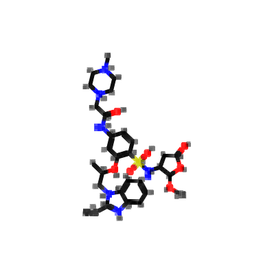 CCOC1OC(=O)CC1NS(=O)(=O)c1ccc(NC(=O)CN2CCN(C)CC2)cc1OC(C)Cn1c(SC)nc2ccccc21